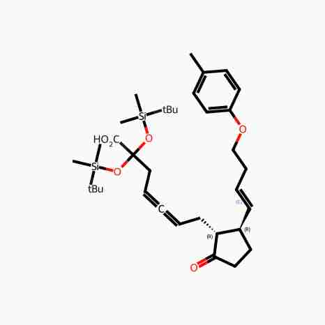 Cc1ccc(OCC/C=C/[C@H]2CCC(=O)[C@@H]2CC=C=CCC(O[Si](C)(C)C(C)(C)C)(O[Si](C)(C)C(C)(C)C)C(=O)O)cc1